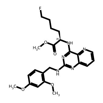 COC(=O)[C@@H](CCCCF)Nc1nc(NCc2ccc(OC)cc2OC)nc2cccnc12